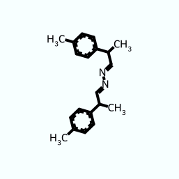 Cc1ccc(C(C)/C=N/N=C/C(C)c2ccc(C)cc2)cc1